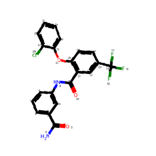 NC(=O)c1cccc(NC(=O)c2cc(C(F)(F)F)ccc2Oc2ccccc2Cl)c1